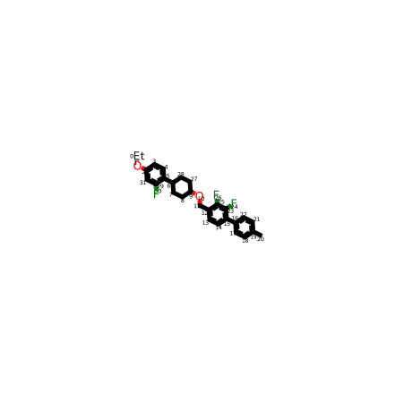 CCOc1ccc(C2CCC(OCc3ccc(-c4ccc(C)cc4)c(F)c3F)CC2)c(F)c1